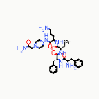 CC(C)C[C@@H](NC(=O)[C@@H](Cc1ccccc1)NC(=O)[C@H](N)Cc1ccccc1)C(=O)N[C@H](CCCN)C(=O)NN1CCN(CC(N)=O)CC1